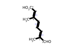 C\C(C=O)=C/C=C/C(C)=C/C(=O)O